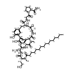 CCCCCCCCCCCCCCCC(=O)N(C)[C@H](CCO)C(=O)N[C@H](N)C(=O)NCC(=O)N(C)[C@@H]1C(=O)N[C@@H](C)C(=O)N[C@H](C(=O)NCC(=O)N2CCCC2C(N)=O)Cc2ccc(O)c(c2)-c2cc1ccc2O